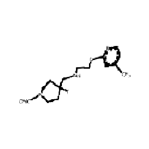 O=CN1CCC(F)(CNCCOc2cc(C(F)(F)F)ccn2)CC1